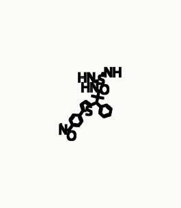 CN(C)C(=O)c1ccc(-c2ccc(C(c3ccccc3)C(C)(C)C(=O)NC(=N)SC=N)s2)cc1